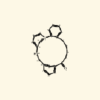 O=C1CCCCc2ccccc2S2=CC(=CC=C2)NCc2cccc1c2